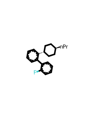 CCC[C@H]1CC[C@H](c2ccccc2-c2ccccc2F)CC1